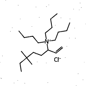 C=CC(CCC(C)(C)CC)[N+](CCCC)(CCCC)CCCC.[Cl-]